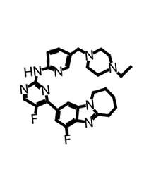 CCN1CCN(Cc2ccc(Nc3ncc(F)c(-c4cc(F)c5nc6n(c5c4)CCCCC6)n3)nc2)CC1